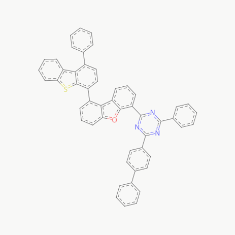 c1ccc(-c2ccc(-c3nc(-c4ccccc4)nc(-c4cccc5c4oc4cccc(-c6ccc(-c7ccccc7)c7c6sc6ccccc67)c45)n3)cc2)cc1